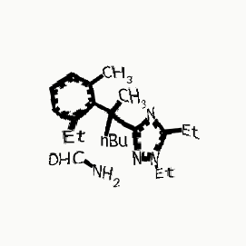 CCCCC(C)(c1nc(CC)n(CC)n1)c1c(C)cccc1CC.NC=O